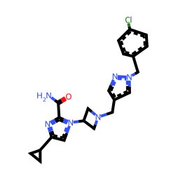 NC(=O)c1nc(C2CC2)cn1C1CN(Cc2cnn(Cc3ccc(Cl)cc3)c2)C1